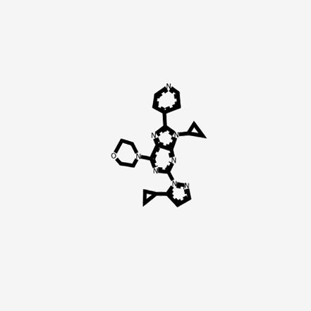 c1cc(-c2nc3c(N4CCOCC4)nc(-n4nccc4C4CC4)nc3n2C2CC2)ccn1